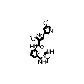 COc1cncc(-n2cc(C(=O)Nc3cccc(C(=N)N(C=N)C(C)C)n3)c(OC)n2)c1